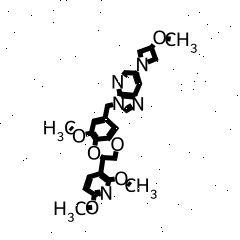 COc1ccc(C2COc3cc(Cn4cnc5cc(N6CC(OC)C6)cnc54)cc(OC)c3O2)c(OC)n1